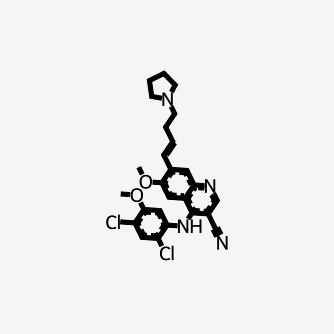 COc1cc(Nc2c(C#N)cnc3cc(C=CCCN4CCCC4)c(OC)cc23)c(Cl)cc1Cl